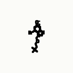 C[Si](C)(C)CCOCn1cnc2c[n+]([O-])cc(Br)c21